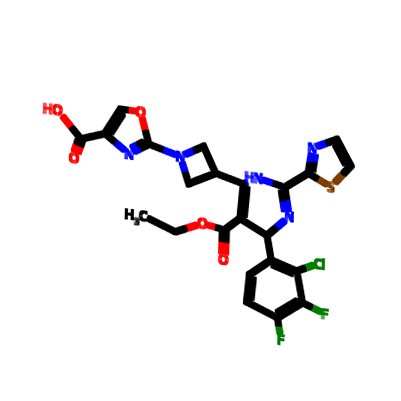 CCOC(=O)C1=C(C2CN(c3nc(C(=O)O)co3)C2)NC(c2nccs2)=NC1c1ccc(F)c(F)c1Cl